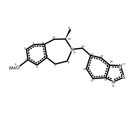 COc1ccc2c(c1)CCN(Cc1ccc3nsnc3c1)[C@H](C)C2